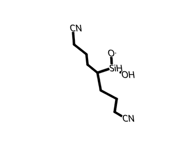 N#CCCCC(CCCC#N)[SiH]([O])O